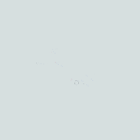 CCCCCC(=O)NCCCC[C@H](NC(=O)CCOCCOC)C(=O)NCCCCCCCOc1ccc(C[C@H]2CN(CC(=O)O)CCN(CC(=O)O)CCN(CC(=O)O)CCN2CC(=O)O)cc1